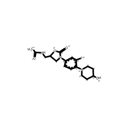 CC(=O)NCC1CN(c2ccc(N3CCC(O)CC3)c(F)c2)C(=O)O1